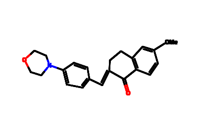 COc1ccc2c(c1)CCC(=Cc1ccc(N3CCOCC3)cc1)C2=O